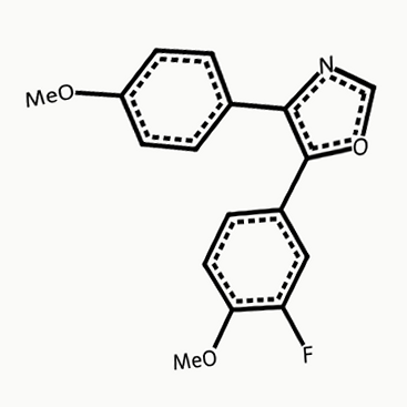 COc1ccc(-c2ncoc2-c2ccc(OC)c(F)c2)cc1